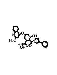 Cc1cc(O[C@H]2CC(C(=O)NO)C(C(=O)N3CC=C(c4ccccc4)C3)N(C)C2)c2ccccc2n1